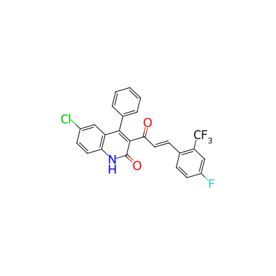 O=C(C=Cc1ccc(F)cc1C(F)(F)F)c1c(-c2ccccc2)c2cc(Cl)ccc2[nH]c1=O